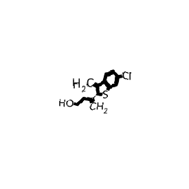 C=C(CCO)[C@H]1Sc2cc(Cl)ccc2C1=C